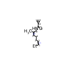 CC/C=C\CC/C=C(/C)CNC(=O)C1CC1